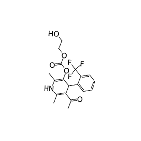 CC(=O)C1=C(C)NC(C)=C(OC(=O)OCCO)C1c1ccccc1C(F)(F)F